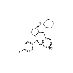 CC(=O)N(c1ccc(F)cc1)C1CSC(=NC2CCCCC2)N1Cc1ccccc1.Cl